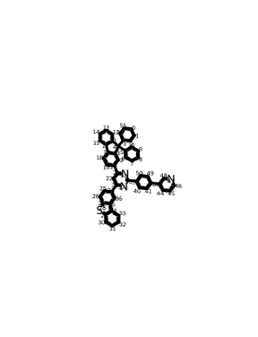 c1ccc(C2(c3ccccc3)c3ccccc3-c3ccc(-c4cc(-c5ccc6sc7ccccc7c6c5)nc(-c5ccc(-c6cccnc6)cc5)n4)cc32)cc1